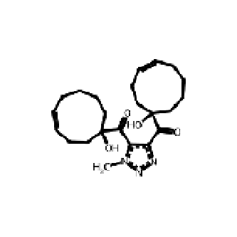 Cn1nnc(C(=O)C2(O)CCC=CCCCC2)c1C(=O)C1(O)CCC=CCCCC1